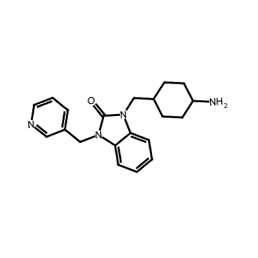 NC1CCC(Cn2c(=O)n(Cc3cccnc3)c3ccccc32)CC1